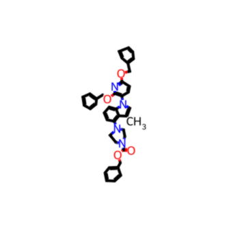 Cc1cn(-c2ccc(OCc3ccccc3)nc2OCc2ccccc2)c2cccc(N3CCN(C(=O)OCc4ccccc4)CC3)c12